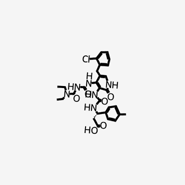 CCN(CC)C(=O)NC(=O)Nc1c(Cc2ccccc2Cl)c[nH]c(=O)c1NC(=O)N[C@@H](CC(=O)O)c1ccc(C)cc1